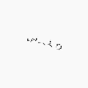 COCCOC(=O)Cc1ccsc1